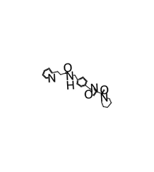 O=C(CCc1ccccn1)NCc1ccc(-c2nc(C(=O)N3CCCCC3)co2)cc1